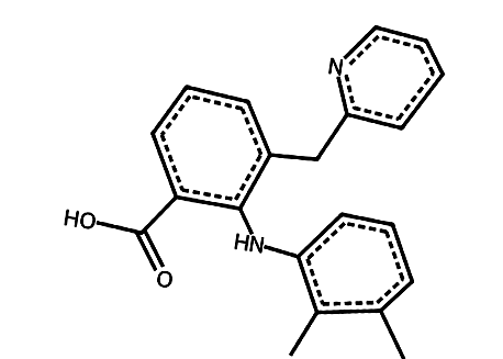 Cc1cccc(Nc2c(Cc3ccccn3)cccc2C(=O)O)c1C